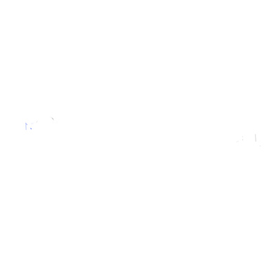 C=CCCCCCCCCCCCCCCCCCC=[C]C#N